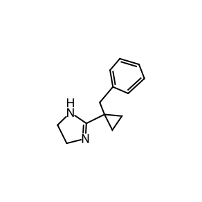 c1ccc(CC2(C3=NCCN3)CC2)cc1